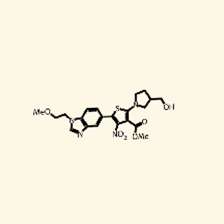 COCCn1cnc2cc(-c3sc(N4CCC(CO)C4)c(C(=O)OC)c3[N+](=O)[O-])ccc21